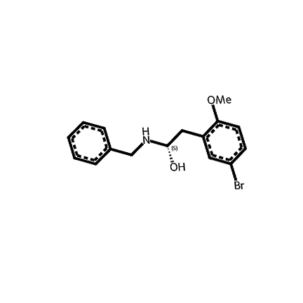 COc1ccc(Br)cc1C[C@H](O)NCc1ccccc1